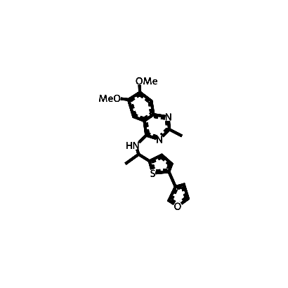 COc1cc2nc(C)nc(NC(C)c3ccc(-c4ccoc4)s3)c2cc1OC